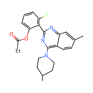 CCC(=O)Oc1cccc(F)c1-c1nc(N2CCC(C)CC2)c2ccc(C)cc2n1